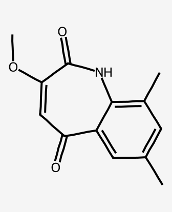 COc1cc(=O)c2cc(C)cc(C)c2[nH]c1=O